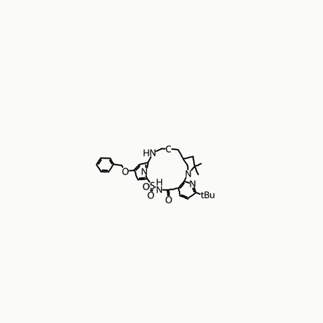 CC(C)(C)c1ccc2c(n1)N1CC(CCCNc3cc(OCc4ccccc4)cc(n3)S(=O)(=O)NC2=O)CC1(C)C